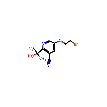 CC(C)(O)c1ncc(OCCBr)cc1C#N